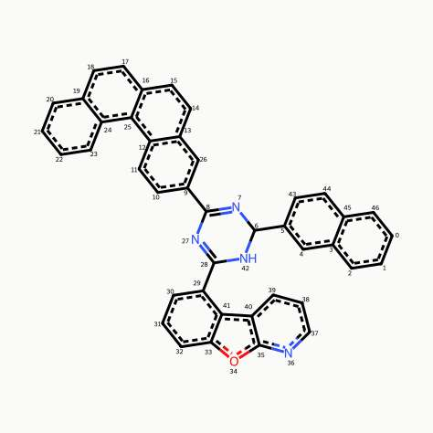 c1ccc2cc(C3N=C(c4ccc5c(ccc6ccc7ccccc7c65)c4)N=C(c4cccc5oc6ncccc6c45)N3)ccc2c1